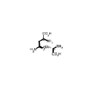 CCCC[C@H](N)C(=O)O.NC(=O)C[C@H](N)C(=O)O